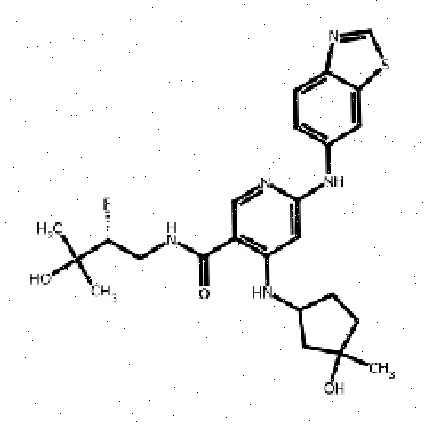 CC1(O)CCC(Nc2cc(Nc3ccc4ncsc4c3)ncc2C(=O)NC[C@@H](F)C(C)(C)O)C1